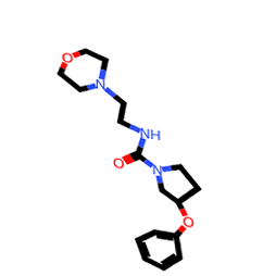 O=C(NCCN1CCOCC1)N1CCC(Oc2ccccc2)C1